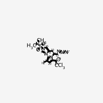 CN(C)S(=O)(=O)n1cnc(C[C@@H](CN=[N+]=[N-])n2cc(I)cc2C(=O)C(Cl)(Cl)Cl)c1